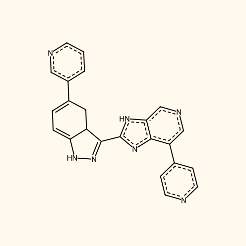 C1=C(c2cccnc2)CC2C(=C1)NN=C2c1nc2c(-c3ccncc3)cncc2[nH]1